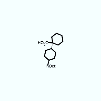 CCCCCCCC[C@H]1CC[C@H](C2(C(=O)O)CCCCC2)CC1